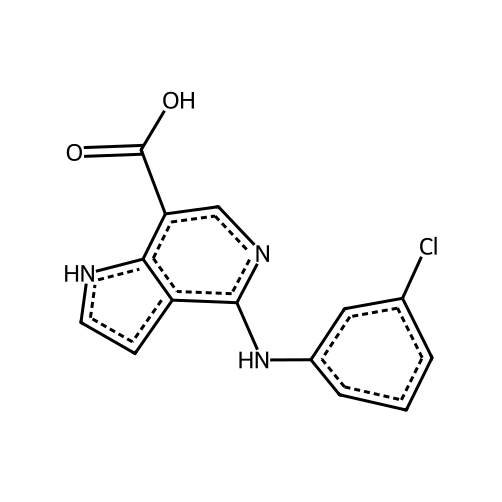 O=C(O)c1cnc(Nc2cccc(Cl)c2)c2cc[nH]c12